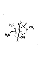 C[C@@H]1CC[C@H]2[C@H]([C@@H](C)[C@@]2(CN)CC(=O)O)C1(C)F